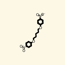 O=[N+]([O-])c1ccc(OCCCCCOc2ccc([N+](=O)[O-])cc2)cc1